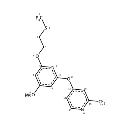 COc1cc(OCCSC(F)(F)F)nc(Oc2ccnc(C(F)(F)F)c2)c1